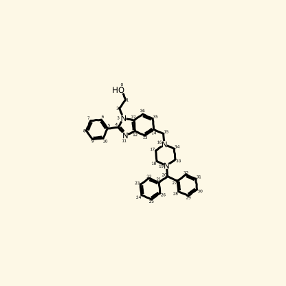 OCCn1c(-c2ccccc2)nc2cc(CN3CCN(C(c4ccccc4)c4ccccc4)CC3)ccc21